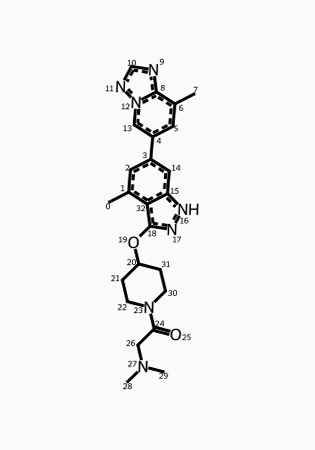 Cc1cc(-c2cc(C)c3ncnn3c2)cc2[nH]nc(OC3CCN(C(=O)CN(C)C)CC3)c12